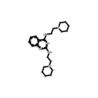 c1ccc2c(NCCN3CCCCC3)nc(NCCN3CCCCC3)nc2c1